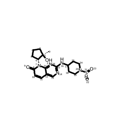 C[C@@]1(O)CCC[C@H]1n1c(=O)ccc2cnc(NC3CCN([SH](=O)=O)CC3)nc21